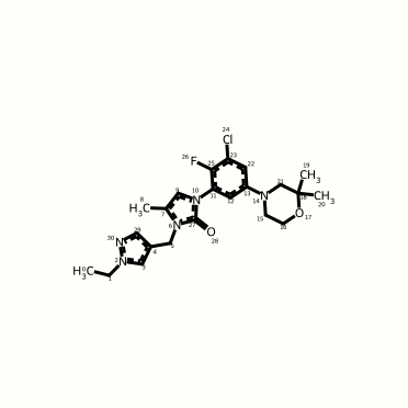 CCn1cc(Cn2c(C)cn(-c3cc(N4CCOC(C)(C)C4)cc(Cl)c3F)c2=O)cn1